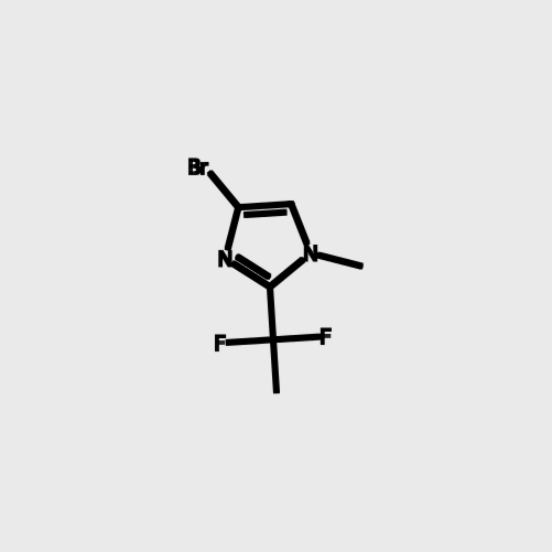 Cn1cc(Br)nc1C(C)(F)F